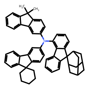 CC1(C)c2ccccc2-c2cc(N(c3ccc4c(c3)-c3ccccc3C43CCCCC3)c3cccc4c3-c3ccccc3C43C4CC5CC(C4)CC3C5)ccc21